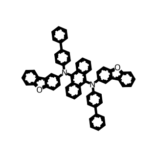 c1ccc(-c2ccc(N(c3ccc4oc5ccccc5c4c3)c3c4ccccc4c(N(c4ccc(-c5ccccc5)cc4)c4ccc5oc6ccccc6c5c4)c4ccccc34)cc2)cc1